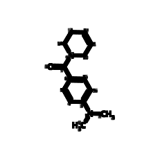 CN(C)c1ccc(C(=O)N2CC=CCC2)cc1